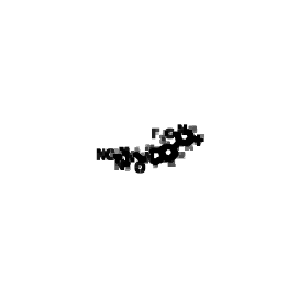 N#Cc1ncn(CC(=O)N2Cc3ccc(-c4cc(F)cnc4C(F)(F)F)cc3C2)n1